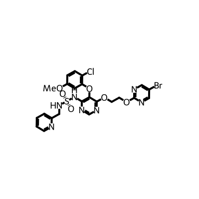 COc1ccc(Cl)c(Oc2c(NS(=O)(=O)NCc3ccccn3)ncnc2OCCOc2ncc(Br)cn2)c1